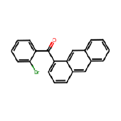 O=C(c1ccccc1Br)c1cccc2cc3ccccc3cc12